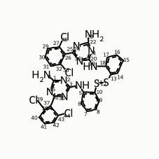 Nc1nc(Nc2ccccc2SSc2ccccc2Nc2nc(N)nc(-c3c(Cl)cccc3Cl)n2)nc(-c2c(Cl)cccc2Cl)n1